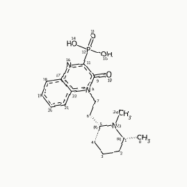 C[C@@H]1CCC[C@H](CCn2c(=O)c(P(=O)(O)O)nc3ccccc32)N1C